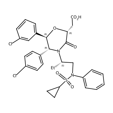 CC[C@@H](CN(c1ccccc1)S(=O)(=O)C1CC1)N1C(=O)[C@@H](CC(=O)O)O[C@H](c2cccc(Cl)c2)[C@H]1c1ccc(Cl)cc1